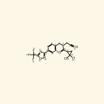 C#CCN(Cc1ccc(-c2noc(C(F)(F)F)n2)cc1)C(=O)C1CC1(Cl)Cl